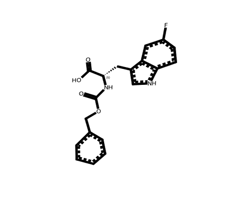 O=C(N[C@@H](Cc1c[nH]c2ccc(F)cc12)C(=O)O)OCc1ccccc1